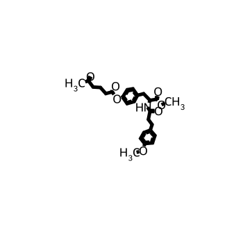 COC(=O)C(Cc1ccc(OC(=O)CCCC(C)=O)cc1)NC(=O)CCc1ccc(OC)cc1